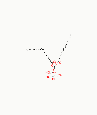 CCCCCCCC/C=C\CCCCCCCC(=O)O[C@H](COC(=O)CCCCCCCCCCCCCCC)CO[C@@H]1O[C@H](CO)[C@H](O)C(O)C1O